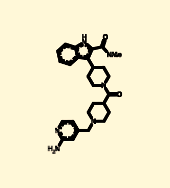 CNC(=O)c1[nH]c2ccccc2c1C1CCN(C(=O)C2CCN(Cc3ccnc(N)c3)CC2)CC1